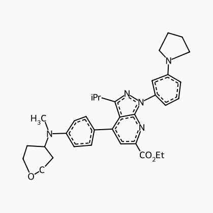 CCOC(=O)c1cc(-c2ccc(N(C)C3CCOCC3)cc2)c2c(C(C)C)nn(-c3cccc(N4CCCC4)c3)c2n1